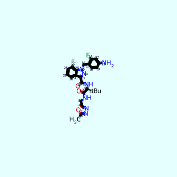 Cc1nnc(CNC(=O)[C@@H](NC(=O)c2nn(Cc3ccc(N)cc3F)c3c(F)cccc23)C(C)(C)C)o1